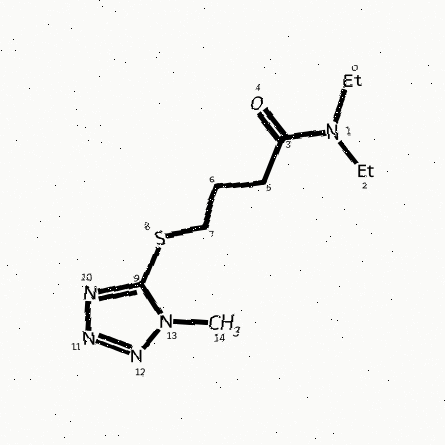 CCN(CC)C(=O)CCCSc1nnnn1C